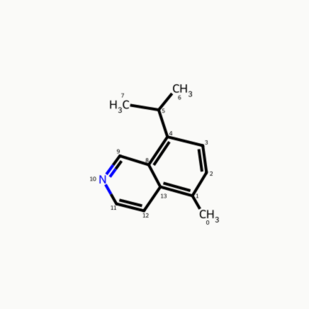 Cc1ccc(C(C)C)c2cnccc12